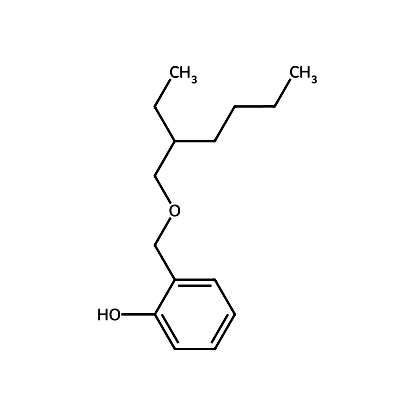 CCCCC(CC)COCc1ccccc1O